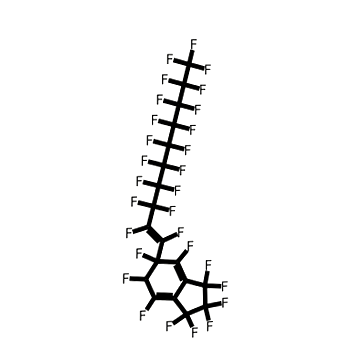 FC1=C2C(=C(F)C(F)(C(F)=C(F)C(F)(F)C(F)(F)C(F)(F)C(F)(F)C(F)(F)C(F)(F)C(F)(F)C(F)(F)F)C1F)C(F)(F)C(F)(F)C2(F)F